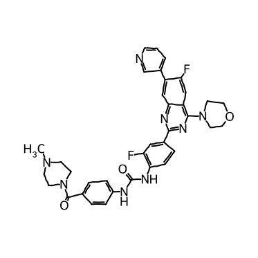 CN1CCN(C(=O)c2ccc(NC(=O)Nc3ccc(-c4nc(N5CCOCC5)c5cc(F)c(-c6cccnc6)cc5n4)cc3F)cc2)CC1